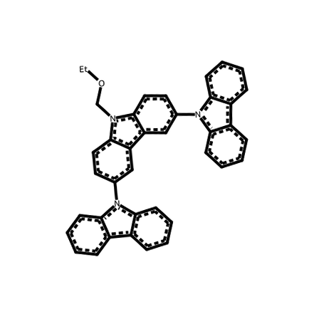 CCOCn1c2ccc(-n3c4ccccc4c4ccccc43)cc2c2cc(-n3c4ccccc4c4ccccc43)ccc21